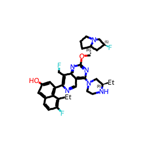 CCc1c(F)ccc2cc(O)cc(-c3ncc4c(N5CCN[C@H](CC)C5)nc(OC[C@]56CCCN5C[C@@H](F)C6)nc4c3CF)c12